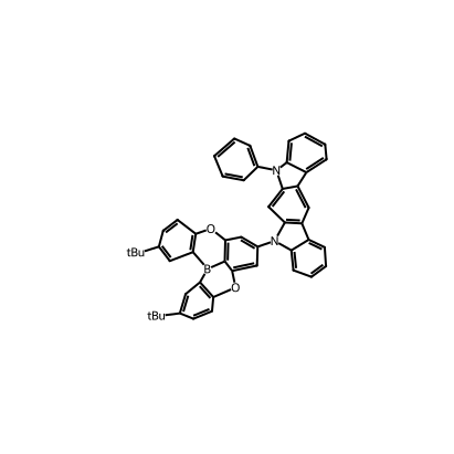 CC(C)(C)c1ccc2c(c1)B1c3cc(C(C)(C)C)ccc3Oc3cc(-n4c5ccccc5c5cc6c7ccccc7n(-c7ccccc7)c6cc54)cc(c31)O2